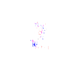 CCNC(=O)c1nnc(-c2cc(C(C)C)c(O)cc2O)n1-c1ccc(C(=O)N(C)CCCN(C(=O)O)c2cccc3c2CN(C2CCC(=O)NC2=O)C3=O)cc1